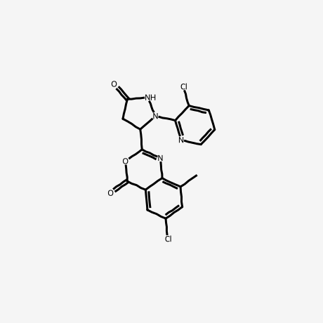 Cc1cc(Cl)cc2c(=O)oc(C3CC(=O)NN3c3ncccc3Cl)nc12